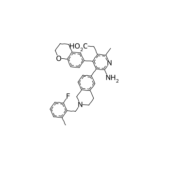 Cc1cccc(F)c1CN1CCc2cc(-c3c(N)nc(C)c(CC(=O)O)c3-c3ccc4c(c3)CCCO4)ccc2C1